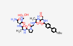 CCCCc1ccc(-c2ccc(C(=O)N[C@H](CO)C(=O)N[C@H](C)C(=O)NCC(=O)N3CCC[C@H]3C(=O)N[C@@H](C)C(=O)N[C@@H](CC(N)=O)C(=O)NCB(O)O)cc2)cc1